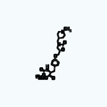 COC(=O)C(Cc1ccc(OCC2CN(CC3CCN(C)CC3)C(=O)O2)cc1)NC(=O)OC(C)(C)C